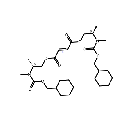 C[C@H](COC(=O)/C=C/C(=O)OC[C@@H](C)N(C)C(=O)OCC1CCCCC1)N(C)C(=O)OCC1CCCCC1